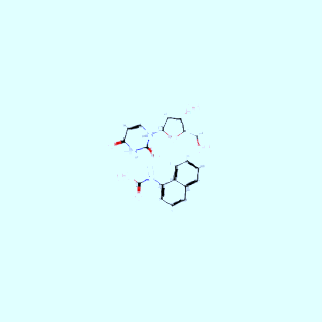 O=C(O)Nc1cccc2ccccc12.O=c1ccn([C@H]2C[C@H](O)[C@@H](CO)O2)c(=O)[nH]1